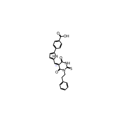 O=C1NC(=S)N(CCc2ccccc2)C(=O)/C1=C/c1ccc(-c2ccc(C(=O)O)cc2)[nH]1